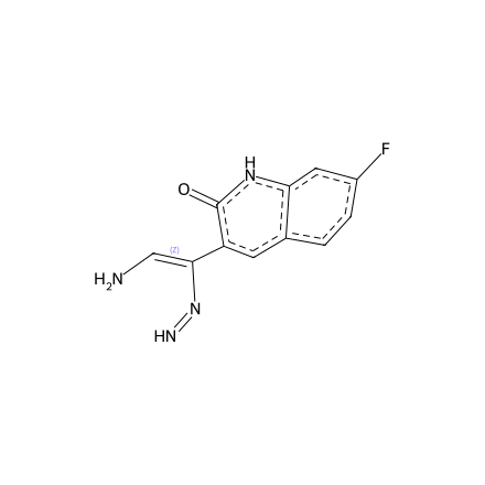 N=N/C(=C\N)c1cc2ccc(F)cc2[nH]c1=O